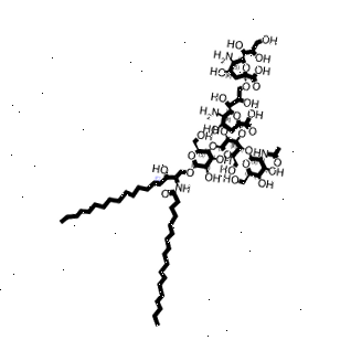 CCCCCCCCCCCCC/C=C/C(O)C(CO[C@@H]1O[C@@H](CO)[C@@H](O[C@@H]2O[C@H](CO)[C@@H](O[C@@H]3O[C@H](CO)[C@H](O)[C@H](O)[C@@H]3NC(C)=O)[C@H](O[C@]3(C(=O)O)C[C@@H](O)[C@@H](N)[C@@H](C(O)C(O)CO[C@]4(C(=O)O)C[C@@H](O)[C@H](N)[C@@H](C(O)C(O)CO)O4)O3)[C@H]2O)[C@@H](O)[C@H]1O)NC(=O)CCCCCCCCCCCCCCCCC